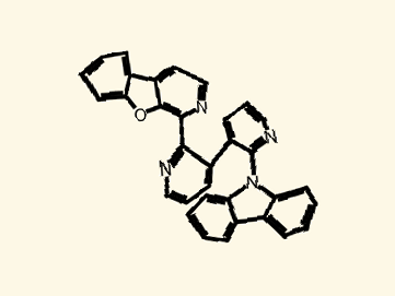 c1cnc(-c2nccc3c2oc2ccccc23)c(-c2cccnc2-n2c3ccccc3c3ccccc32)c1